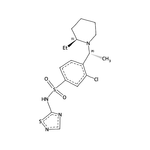 CC[C@H]1CCCCN1[C@H](C)c1ccc(S(=O)(=O)Nc2ncns2)cc1Cl